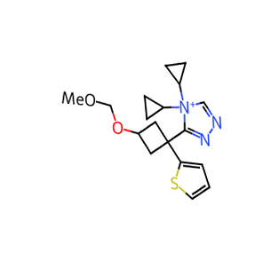 COCOC1CC(C2=NN=C[N+]2(C2CC2)C2CC2)(c2cccs2)C1